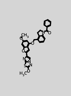 COc1cc(OCc2cccc3c2CCN3C(=O)c2ccccc2)c2cc(-c3cn4nc(OC)sc4n3)oc2c1